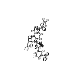 CC(C)(C)OC(=O)N(c1nnc(-c2cccc([N+](=O)[O-])c2)s1)c1ccc2c(cnn2C(=O)OC(C)(C)C)c1Cl